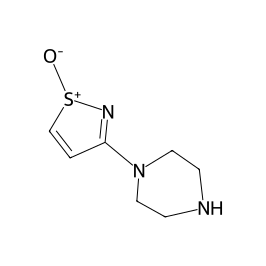 [O-][s+]1ccc(N2CCNCC2)n1